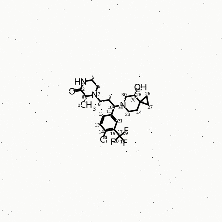 C[C@@H]1C(=O)NCCN1CCC(c1ccc(Cl)c(C(F)(F)F)c1)N1CCC2(CC2)[C@H](O)C1